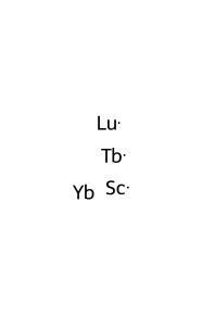 [Lu].[Sc].[Tb].[Yb]